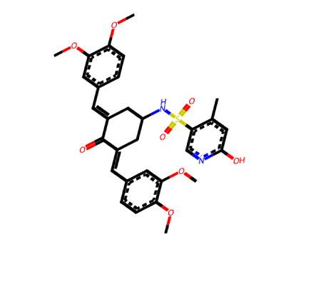 COc1ccc(/C=C2\CC(NS(=O)(=O)c3cnc(O)cc3C)C/C(=C\c3ccc(OC)c(OC)c3)C2=O)cc1OC